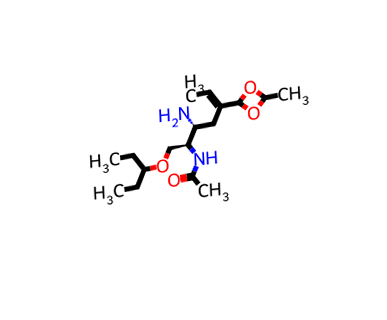 C/C=C(\C[C@@H](N)[C@H](COC(CC)CC)NC(C)=O)C1OC(C)O1